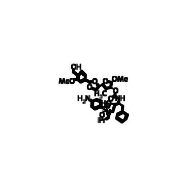 COc1cc(C2OCC([C@H]3O[C@H](OC)[C@H](OC(=O)N[C@@H](Cc4ccccc4)[C@H](O)CN(CC(C)C)S(=O)(=O)c4ccc(N)cc4)[C@H]3C)O2)ccc1CO